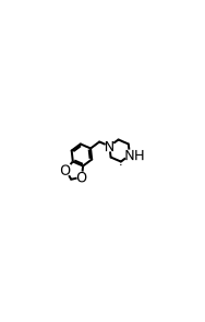 [CH]1CN(Cc2ccc3c(c2)OCO3)CCN1